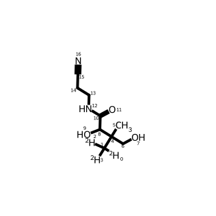 [2H]C([2H])([2H])C(C)(CO)C(O)C(=O)NCCC#N